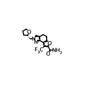 NC(=O)c1oc2c(c1C(F)(F)F)-c1nn(C[C@@H]3CCCO3)cc1CC2